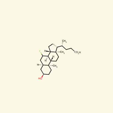 C[C@H](CCC(=O)O)[C@H]1CC[C@H]2[C@@H]3C(F)C[C@@H]4C[C@H](O)CC[C@]4(C)[C@H]3CC[C@]12C